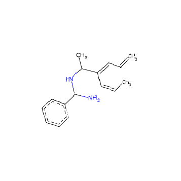 C=C/C=C(\C=C/C)C(C)NC(N)c1ccccc1